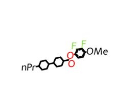 CCCC1CCC(C2CCC(C(=O)Oc3ccc(OC)c(F)c3F)CC2)CC1